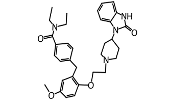 CCN(CC)C(=O)c1ccc(Cc2cc(OC)ccc2OCCN2CCC(n3c(=O)[nH]c4ccccc43)CC2)cc1